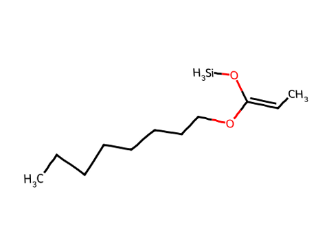 CC=C(O[SiH3])OCCCCCCCC